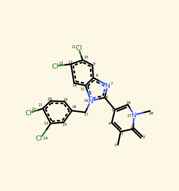 C=C1C(C)=CC(c2nc3cc(Cl)c(Cl)cc3n2Cc2ccc(Cl)c(Cl)c2)=CN1C